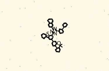 CC1(C)Oc2cc(-c3cc(-c4nc(-c5cccc(-c6ccccc6)c5)nc(-c5ccc6ccccc6c5)n4)c4sc5ccccc5c4c3)ccc2-c2ccccc21